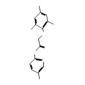 O=C(COc1c(Cl)cc(Cl)cc1Cl)Nc1ccc(Cl)cn1